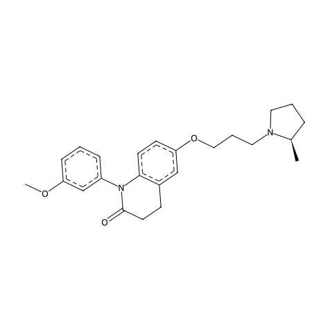 COc1cccc(N2C(=O)CCc3cc(OCCCN4CCC[C@H]4C)ccc32)c1